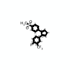 CS(=O)(=O)c1ccc(C2=CCC=C2c2ccc(F)c(C(F)(F)F)c2)cc1